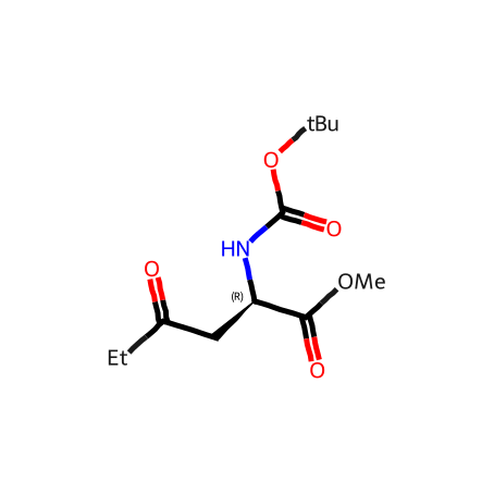 CCC(=O)C[C@@H](NC(=O)OC(C)(C)C)C(=O)OC